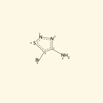 Nc1nnsc1Br